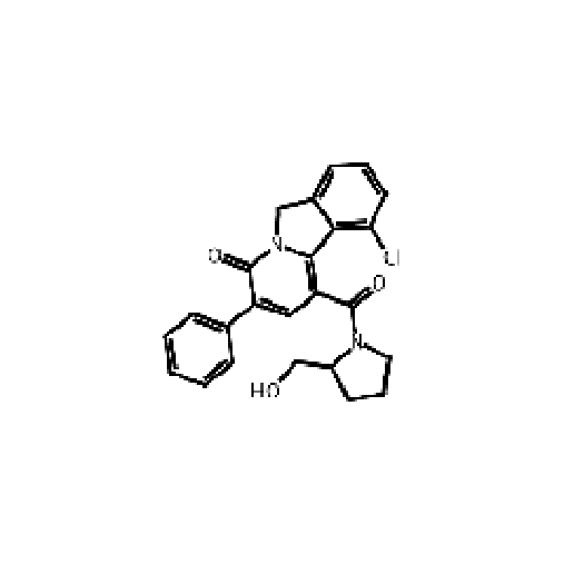 O=C(c1cc(-c2ccccc2)c(=O)n2c1-c1c(Cl)cccc1C2)N1CCCC1CO